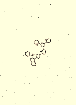 c1ccc(-c2nc3cc(-c4cccc(-c5cc(-c6ccccn6)nc(-c6ccccn6)c5)c4)ccc3c3c2sc2ccccc23)cc1